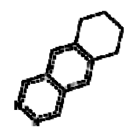 c1nncc2cc3c(cc12)CCCC3